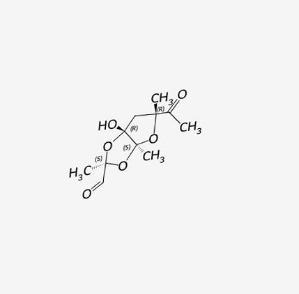 CC(=O)[C@@]1(C)C[C@@]2(O)O[C@](C)(C=O)O[C@]2(C)O1